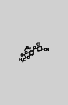 CCC(C)COC(=O)C(C)Oc1ccc(Oc2ccc(C#N)cc2Cl)cc1